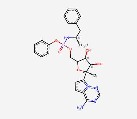 CCOC(=O)[C@H](Cc1ccccc1)NP(=O)(OCC1O[C@@](C#N)(c2ccc3c(N)ncnn23)[C@H](O)[C@@H]1O)Oc1ccccc1